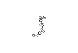 COc1ccc(C(=O)OC(C)CCOC(=O)c2ccc(C=O)cc2)cc1